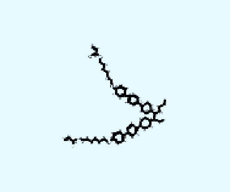 [CH2]CC(C1CCC(c2ccc(-c3ccc(OCCCCCCOC(=O)C=C)cc3)cc2)CC1)C(CCCC)C1CCC(c2ccc(-c3ccc(OCCCCCCOC(=O)C=C)cc3)cc2)CC1